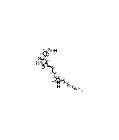 NCCOCCCN1C=C(CCCCC#Cc2cn([C@H]3CC[C@@H](CO)O3)c(=O)[nH]c2=O)NN1